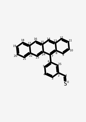 S=Cc1cccc(-c2c3ccccc3cc3cc4ccccc4cc23)c1